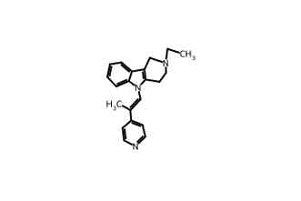 CCN1CCc2c(c3ccccc3n2C=C(C)c2ccncc2)C1